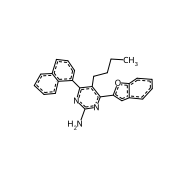 CCCCc1c(-c2cc3ccccc3o2)nc(N)nc1-c1cccc2ccccc12